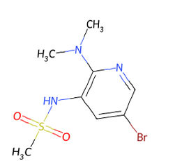 CN(C)c1ncc(Br)cc1NS(C)(=O)=O